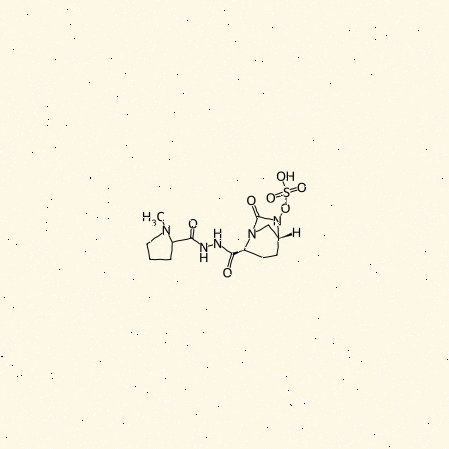 CN1CCCC1C(=O)NNC(=O)[C@@H]1CC[C@@H]2CN1C(=O)N2OS(=O)(=O)O